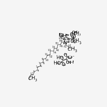 CCCCCCCCCCCCCCCCCCCC[N+](CCC)(CCC)CC(C)[Si](OC)(OC)OC.O=C([O-])C(O)C(O)C(=O)O